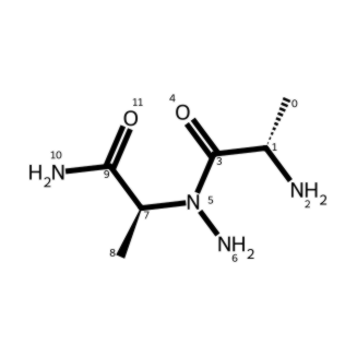 C[C@H](N)C(=O)N(N)[C@@H](C)C(N)=O